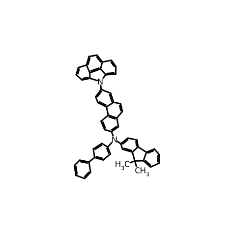 CC1(C)c2ccccc2-c2ccc(N(c3ccc(-c4ccccc4)cc3)c3ccc4c(ccc5cc(-n6c7cccc8ccc9cccc6c9c87)ccc54)c3)cc21